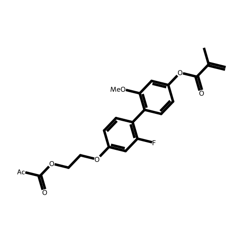 C=C(C)C(=O)Oc1ccc(-c2ccc(OCCOC(=O)C(C)=O)cc2F)c(OC)c1